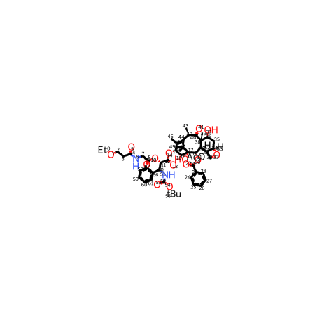 CCOCCC(=O)NCC(=O)O[C@@H](C(=O)O[C@H]1C[C@@]2(O)[C@@H](OC(=O)c3ccccc3)[C@@H]3[C@]4(OC(C)=O)CO[C@@H]4C[C@H](O)[C@@]3(C)C(=O)[C@H](C)C(=C1C)C2(C)C)[C@@H](NC(=O)OC(C)(C)C)c1ccccc1